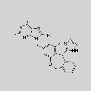 CCc1nc2c(C)cc(C)nc2n1Cc1cc(C)c2c(c1)OCc1ccccc1C2c1nnn[nH]1